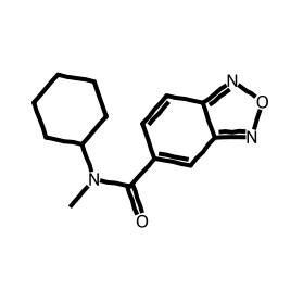 CN(C(=O)c1ccc2nonc2c1)C1CCCCC1